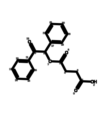 O=C(O)CCC(=O)OC(C(=O)c1ccccc1)c1ccccc1